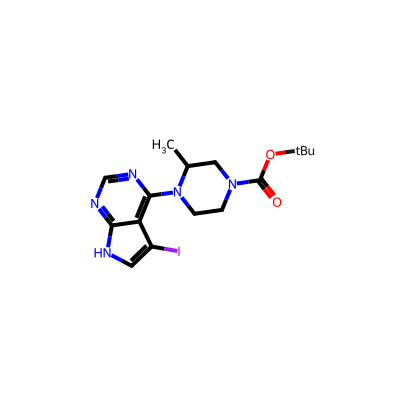 CC1CN(C(=O)OC(C)(C)C)CCN1c1ncnc2[nH]cc(I)c12